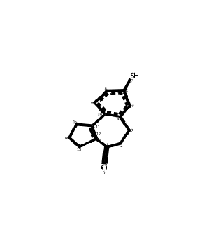 O=C1CCc2cc(S)ccc2C2=C1CCC2